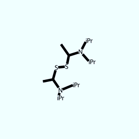 CC(C)N(C(C)C)C(C)SSC(C)N(C(C)C)C(C)C